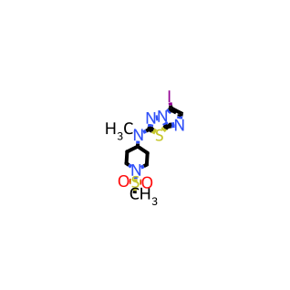 CN(c1nn2c(I)cnc2s1)C1CCN(S(C)(=O)=O)CC1